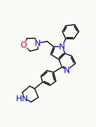 c1ccc(-n2c(CN3CCOCC3)cc3c(-c4ccc(C5CCNCC5)cc4)nccc32)cc1